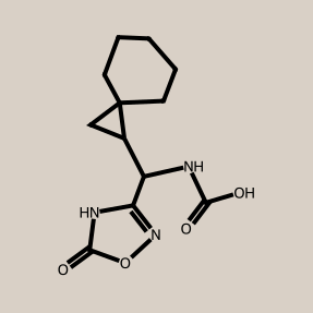 O=C(O)NC(c1noc(=O)[nH]1)C1CC12CCCCC2